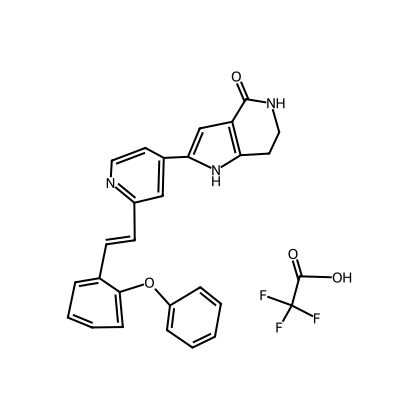 O=C(O)C(F)(F)F.O=C1NCCc2[nH]c(-c3ccnc(/C=C/c4ccccc4Oc4ccccc4)c3)cc21